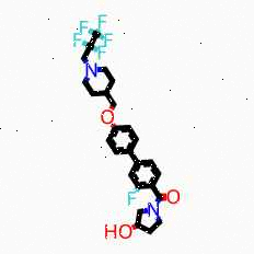 O=C(c1ccc(-c2ccc(OCC3CCN(CC(F)(F)C(F)(F)F)CC3)cc2)cc1F)N1CCC(O)C1